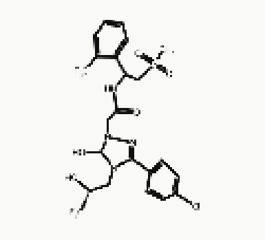 CS(=O)(=O)CC(NC(=O)CN1N=C(c2ccc(Cl)cc2)N(C[C@H](O)C(F)(F)F)C1O)c1ccccc1C(F)(F)F